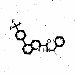 C[C@H](NC(=O)c1ccc2c(-c3ccc(C(F)(F)F)cc3)cccc2n1)c1ccccn1